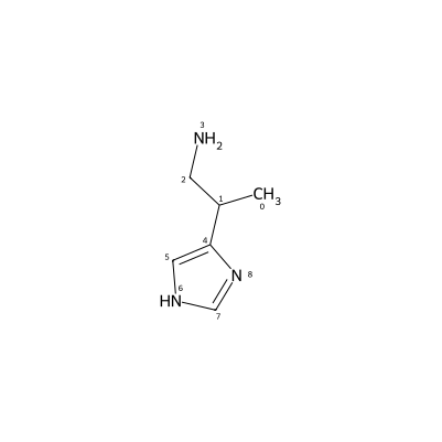 CC(CN)c1c[nH]cn1